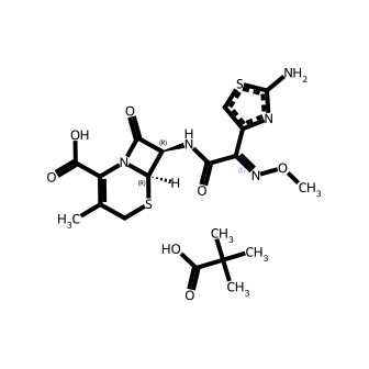 CC(C)(C)C(=O)O.CO/N=C(/C(=O)N[C@@H]1C(=O)N2C(C(=O)O)=C(C)CS[C@H]12)c1csc(N)n1